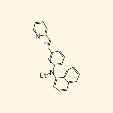 CCN(c1cccc(/C=C/c2ccccn2)n1)c1cccc2ccccc12